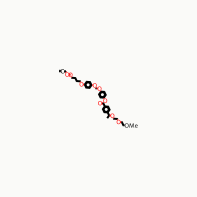 C=C=COOCCCCOc1ccc(OCOc2ccc(OC(=O)c3ccc(C(C)OCCOCCOC)cc3)cc2)cc1